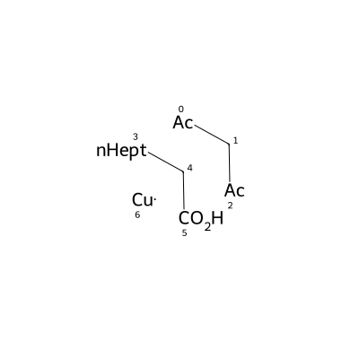 CC(=O)CC(C)=O.CCCCCCCCC(=O)O.[Cu]